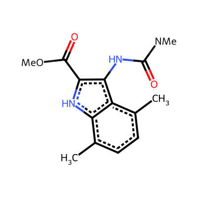 CNC(=O)Nc1c(C(=O)OC)[nH]c2c(C)ccc(C)c12